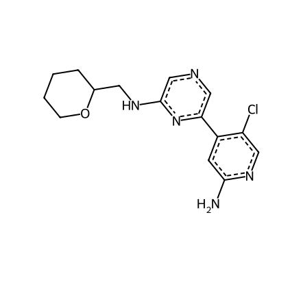 Nc1cc(-c2cncc(NCC3CCCCO3)n2)c(Cl)cn1